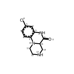 O=C1Nc2cc(Cl)ccc2N2CCNCC12